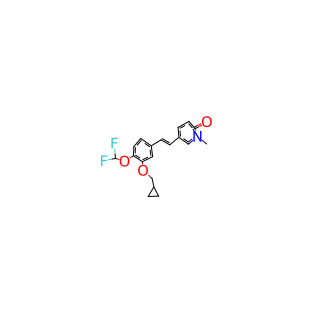 Cn1cc(/C=C/c2ccc(OC(F)F)c(OCC3CC3)c2)ccc1=O